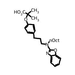 CCCCCCCCN(CCCc1ccc(OC(C)(C)C(=O)O)cc1)c1nc2ccccc2o1